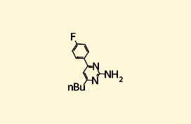 CCCCc1cc(-c2ccc(F)cc2)nc(N)n1